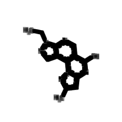 CCn1ncc2c1ncc1c(S)nc3cc(C)nn3c12